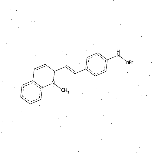 CCCNc1ccc(C=CC2C=Cc3ccccc3N2C)cc1